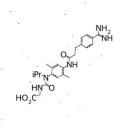 Cc1cc(N(C(=O)NCC(=O)O)C(C)C)c(C)cc1NC(=O)CCc1ccc(C(=N)N)cc1